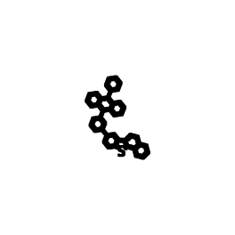 c1ccc(-c2c3ccccc3c(-c3cccc(-c4ccc5sc6c7ccccc7ccc6c5c4)c3)c3ccccc23)cc1